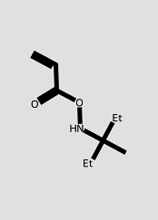 C=CC(=O)ONC(C)(CC)CC